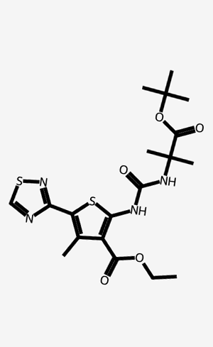 CCOC(=O)c1c(NC(=O)NC(C)(C)C(=O)OC(C)(C)C)sc(-c2ncsn2)c1C